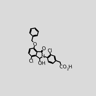 O=C(O)Cc1ccc(N2C(=O)c3c(OCc4ccccc4)ccc(Cl)c3C2O)c(Cl)c1